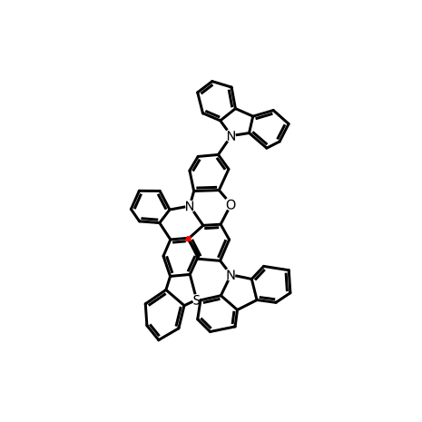 c1ccc(N2c3ccc(-n4c5ccccc5c5ccccc54)cc3Oc3cc(-n4c5ccccc5c5ccccc54)ccc32)c(-c2ccc3sc4ccccc4c3c2)c1